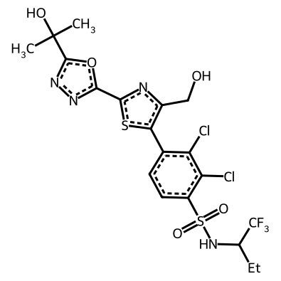 CCC(NS(=O)(=O)c1ccc(-c2sc(-c3nnc(C(C)(C)O)o3)nc2CO)c(Cl)c1Cl)C(F)(F)F